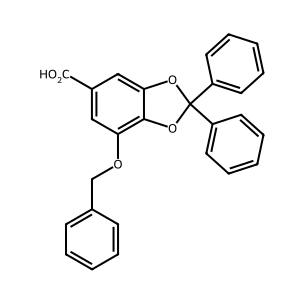 O=C(O)c1cc(OCc2ccccc2)c2c(c1)OC(c1ccccc1)(c1ccccc1)O2